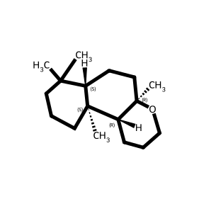 CC1(C)CCC[C@]2(C)[C@H]3CCCO[C@]3(C)CC[C@@H]12